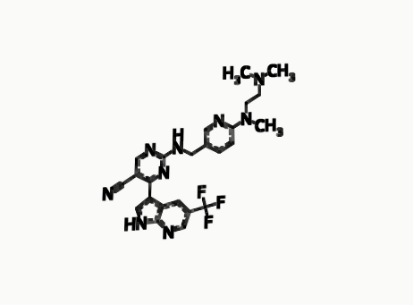 CN(C)CCN(C)c1ccc(CNc2ncc(C#N)c(-c3c[nH]c4ncc(C(F)(F)F)cc34)n2)cn1